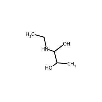 CCNC(O)C(C)O